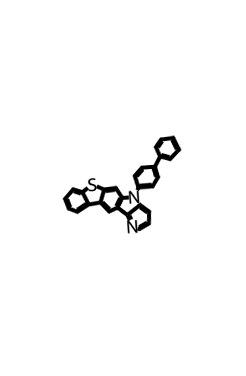 c1ccc(-c2ccc(-n3c4cc5sc6ccccc6c5cc4c4ncccc43)cc2)cc1